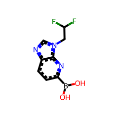 OB(O)c1ccc2ncn(CC(F)F)c2n1